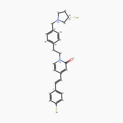 O=c1cc(C=Cc2ccc(F)cc2)ccn1CCc1ccc(CN2CC[C@H](F)C2)cc1